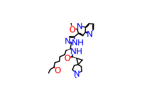 CCC(=O)CCCCC[C@H](NC(=O)[C@H]1CC12CCN(C)CC2)c1ncc(-c2cc3ncccc3nc2OC)[nH]1